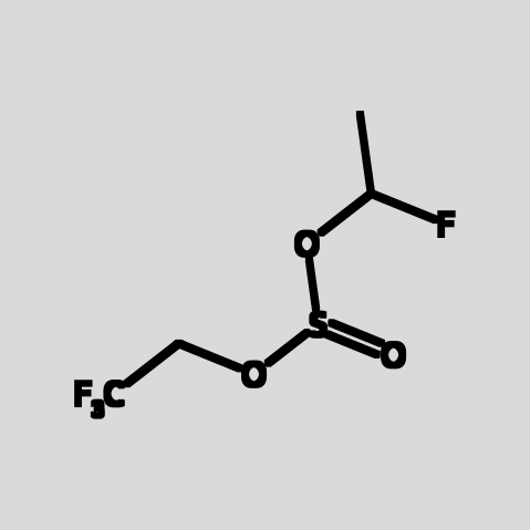 CC(F)OS(=O)OCC(F)(F)F